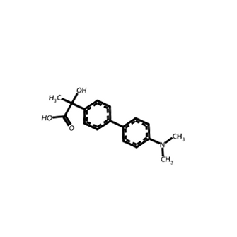 CN(C)c1ccc(-c2ccc(C(C)(O)C(=O)O)cc2)cc1